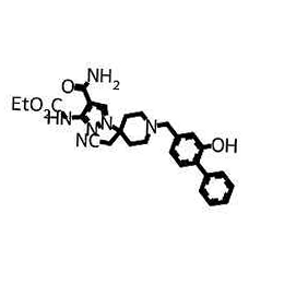 CCOC(=O)Nc1nn(C2(CC#N)CCN(Cc3ccc(-c4ccccc4)c(O)c3)CC2)cc1C(N)=O